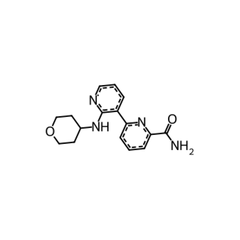 NC(=O)c1cccc(-c2cccnc2NC2CCOCC2)n1